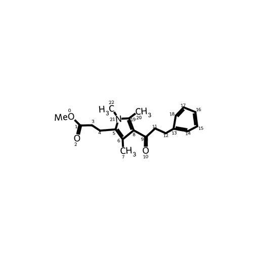 COC(=O)CCc1c(C)c(C(=O)CCc2ccccc2)c(C)n1C